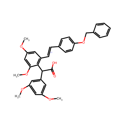 COc1cc(OC)cc(C(C(=O)O)c2c(/C=C/c3ccc(OCc4ccccc4)cc3)cc(OC)cc2OC)c1